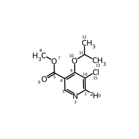 [2H]c1ncc(C(=O)OC)c(OC(C)C)c1Cl